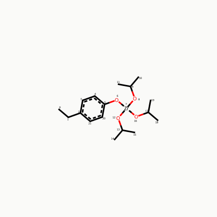 CCc1ccc([O][Zr]([O]C(C)C)([O]C(C)C)[O]C(C)C)cc1